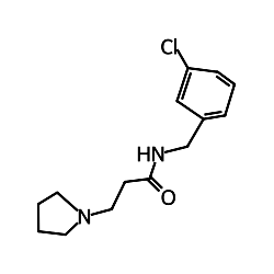 O=C(CCN1CCCC1)NCc1cccc(Cl)c1